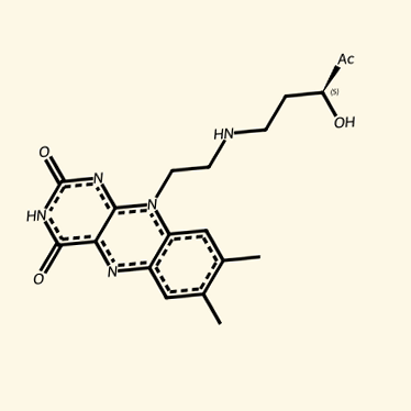 CC(=O)[C@@H](O)CCNCCn1c2nc(=O)[nH]c(=O)c-2nc2cc(C)c(C)cc21